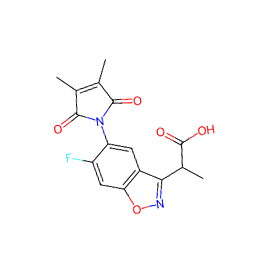 CC1=C(C)C(=O)N(c2cc3c(C(C)C(=O)O)noc3cc2F)C1=O